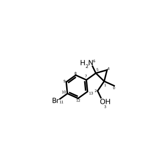 CC1(CO)CC1(N)c1ccc(Br)cc1